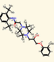 [2H]C([2H])([2H])c1cccc(C([2H])([2H])[2H])c1NC(=O)CN1C([2H])([2H])C([2H])([2H])N(CC(O)COc2ccccc2OC)C([2H])([2H])C1([2H])[2H]